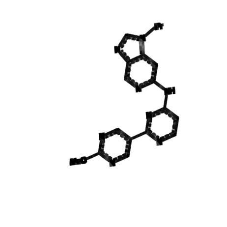 COc1ncc(-c2nccc(Nc3cc4c(cn3)ncn4C(C)C)n2)cn1